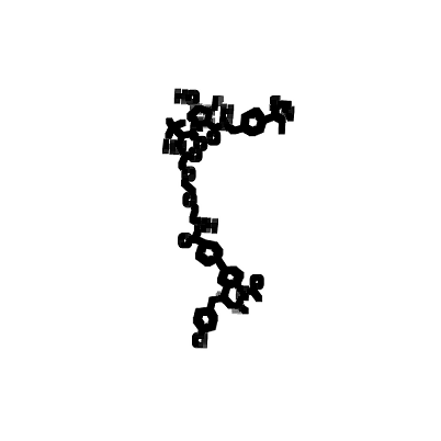 CC(=O)N1c2ccc(-c3ccc(C(=O)NCCOCCOCC(=O)NC(C(=O)N4C[C@H](O)[C@H](F)[C@H]4C(=O)NCc4ccc(-c5scnc5C)cc4)C(C)(C)C)cc3)cc2[C@H](Cc2ccc(Cl)cc2)C[C@@H]1C